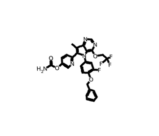 Cc1c(-c2ccc(OC(N)=O)cn2)n(-c2ccc(OCc3ccccc3)c(F)c2)c2c(OCC(F)(F)F)ncnc12